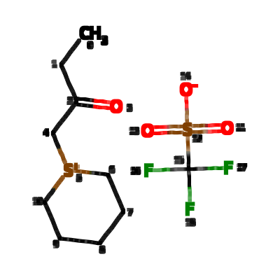 CCC(=O)C[S+]1CCCCC1.O=S(=O)([O-])C(F)(F)F